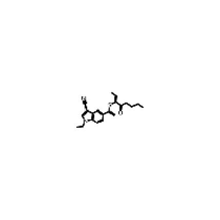 C=C(S/C(=C\C)C(=O)CCCC)c1ccc2c(c1)c(C#N)cn2CC